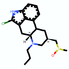 CCCN1C[C@H](C[S+](C)[O-])CC2c3cccc4[nH]c(Cl)c(c34)C[C@H]21